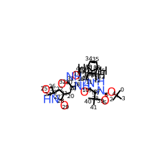 CC(C)(C)OC(=O)N[C@H](C(=O)N1C[C@H]2[C@@H]([C@H]1C(=O)N[C@@H](CC1CC3(COC3)NC1=O)C(N)=O)[C@H]1C=C[C@@H]2C1)C(C)(C)C